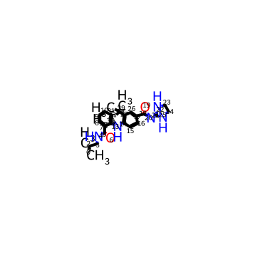 CC(C)CNC(=O)c1ccccc1Nc1ccc(C(=O)N=C2NCCN2)cc1C(C)(C)C